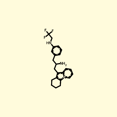 NC(Cc1cccc(NCC(F)(F)F)c1)Cc1c2c(n3ccccc13)CCCC2